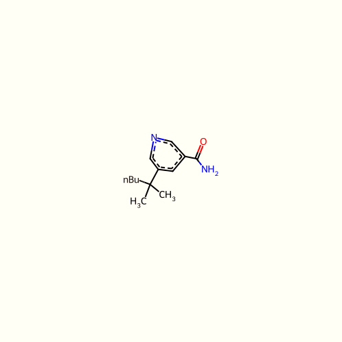 CCCCC(C)(C)c1cncc(C(N)=O)c1